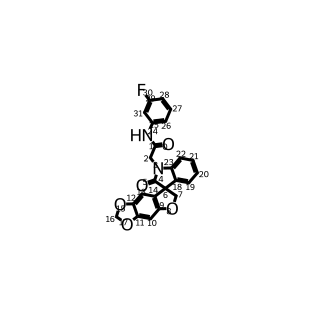 O=C(CN1C(=O)C2(COc3cc4c(cc32)OCO4)c2ccccc21)Nc1cccc(F)c1